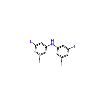 Ic1cc(I)cc(Nc2cc(I)cc(I)c2)c1